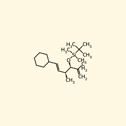 C=C(C)[C@H](O[Si](C)(C)C(C)(C)C)[C@@H](C)/C=C/C1CCCCC1